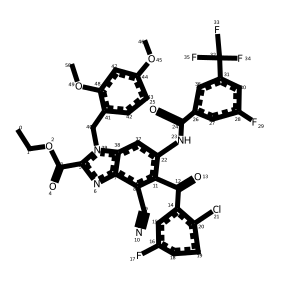 CCOC(=O)c1nc2c(C#N)c(C(=O)c3cc(F)ccc3Cl)c(NC(=O)c3cc(F)cc(C(F)(F)F)c3)cc2n1Cc1ccc(OC)cc1OC